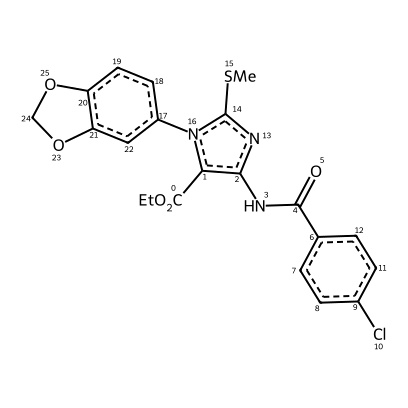 CCOC(=O)c1c(NC(=O)c2ccc(Cl)cc2)nc(SC)n1-c1ccc2c(c1)OCO2